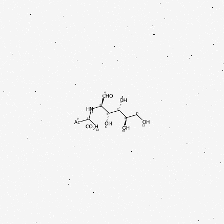 CC(=O)C(N[C@@H](C=O)[C@@H](O)[C@H](O)[C@H](O)CO)C(=O)O